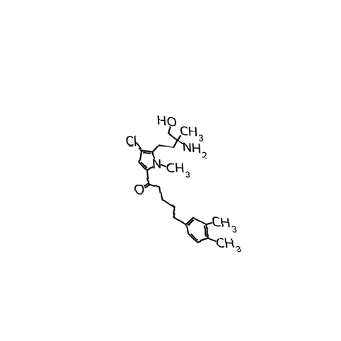 Cc1ccc(CCCCC(=O)c2cc(Cl)c(CCC(C)(N)CO)n2C)cc1C